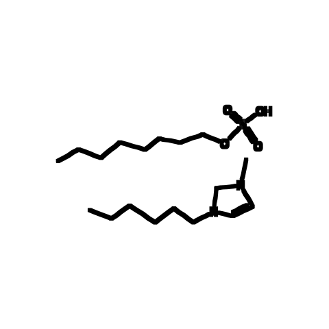 CCCCCCCCOS(=O)(=O)O.CCCCCCN1C=CN(C)C1